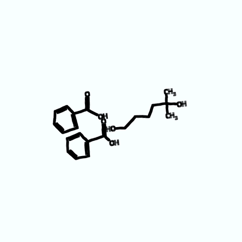 CC(C)(O)CCCCO.O=C(O)c1ccccc1.O=C(O)c1ccccc1